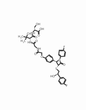 CC(C)(C)[C@@H](NC(=O)CNC(=O)COc1ccc([C@@H]2[C@@H](SC[C@H](O)c3ccc(F)cc3)C(=O)N2c2ccc(F)cc2)cc1)C(=O)N[C@H](CO)C(=O)O